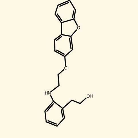 OCCc1ccccc1NCCOc1ccc2c(c1)oc1ccccc12